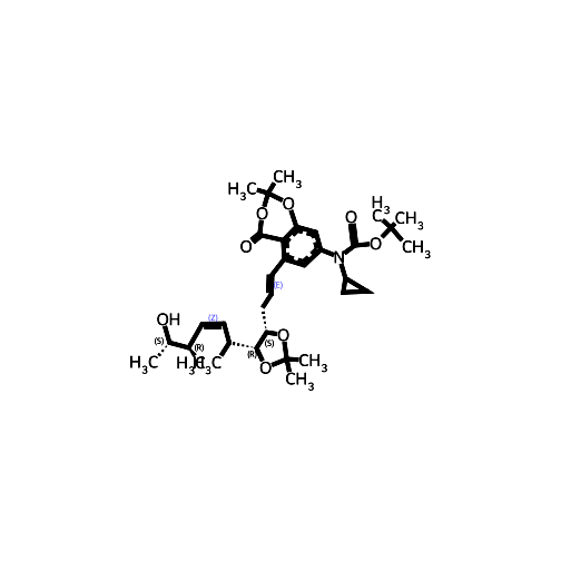 CC(/C=C\[C@@H](C)[C@H](C)O)[C@H]1OC(C)(C)O[C@H]1C/C=C/c1cc(N(C(=O)OC(C)(C)C)C2CC2)cc2c1C(=O)OC(C)(C)O2